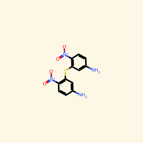 Nc1ccc([N+](=O)[O-])c(Sc2cc(N)ccc2[N+](=O)[O-])c1